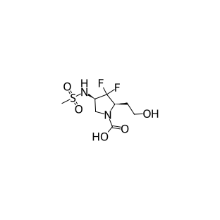 CS(=O)(=O)N[C@@H]1CN(C(=O)O)[C@H](CCO)C1(F)F